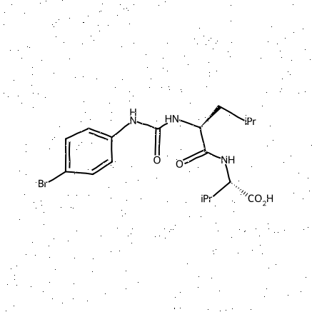 CC(C)C[C@H](NC(=O)Nc1ccc(Br)cc1)C(=O)N[C@H](C(=O)O)C(C)C